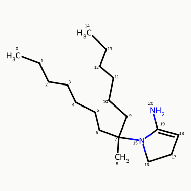 CCCCCCCC(C)(CCCCCC)N1CCC=C1N